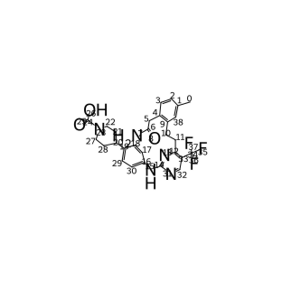 Cc1ccc(CC(N)=O)c(CCc2nc(Nc3ccc(C4CCN(C(=O)O)CC4)cc3)ncc2C(F)(F)F)c1